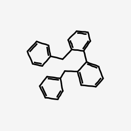 c1ccc(Cc2ccccc2-c2ccccc2Cc2ccccc2)cc1